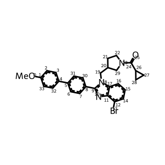 COc1ccc(-c2ccc(-c3nc4c(Br)cccc4n3CC3CCN(C(=O)C4CC4)C3)cc2)cc1